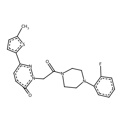 Cc1ccc(-c2ccc(=O)n(CC(=O)N3CCN(c4ccccc4F)CC3)n2)s1